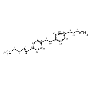 CCCC=Cc1ccc(CCc2ccc(CCCC)cc2)cc1